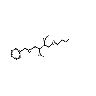 CCCCOCC(OC)C(COCc1ccccc1)OC